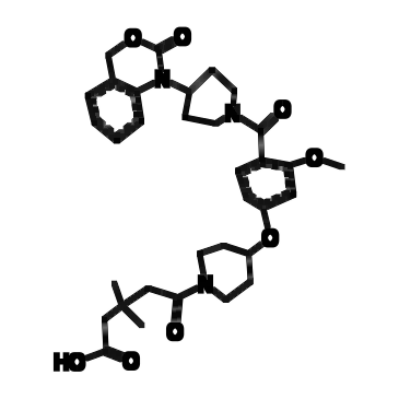 COc1cc(OC2CCN(C(=O)CC(C)(C)CC(=O)O)CC2)ccc1C(=O)N1CCC(N2C(=O)OCc3ccccc32)CC1